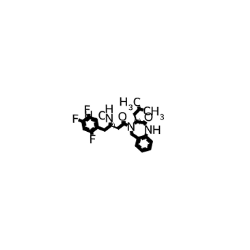 CN[C@@H](CC(=O)N1Cc2ccccc2NC(=O)[C@@H]1CC(C)C)Cc1cc(F)c(F)cc1F